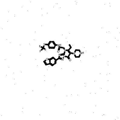 CCc1c(N2CCNCC2)c(=O)n2nc(-c3ccc4ccoc4c3)nc2n1CC(=O)Nc1ccc(SC(F)(F)F)cc1